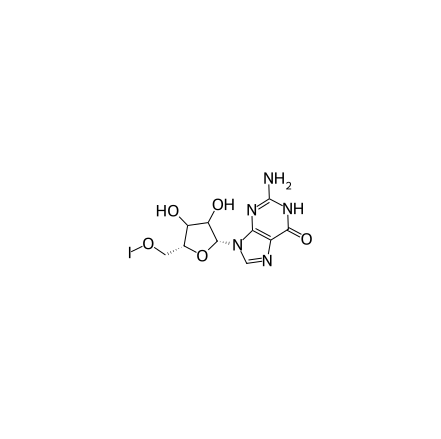 Nc1nc2c(ncn2[C@@H]2O[C@H](COI)C(O)C2O)c(=O)[nH]1